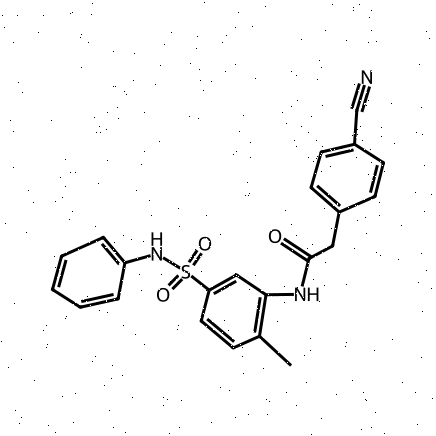 Cc1ccc(S(=O)(=O)Nc2ccccc2)cc1NC(=O)Cc1ccc(C#N)cc1